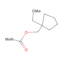 CNC(=O)OCC1(COC)CCCC1